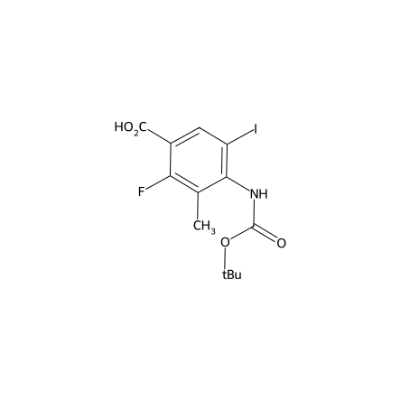 Cc1c(F)c(C(=O)O)cc(I)c1NC(=O)OC(C)(C)C